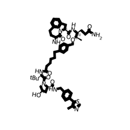 Cc1ncsc1-c1ccc(CNC(=O)[C@@H]2C[C@@H](O)CN2C(=O)[C@@H](NC(=O)CCCCCc2ccc(CO[C@H](C)[C@H](CCC(N)=O)NC(=O)[C@@H]3Cc4cccc5c4N3C(=O)[C@@H](N)CC5)cc2)C(C)(C)C)cc1